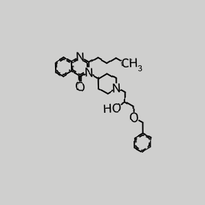 CCCCc1nc2ccccc2c(=O)n1C1CCN(CC(O)COCc2ccccc2)CC1